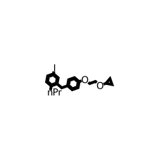 CCCc1ccc(I)cc1Cc1ccc(OCCOC2CC2)cc1